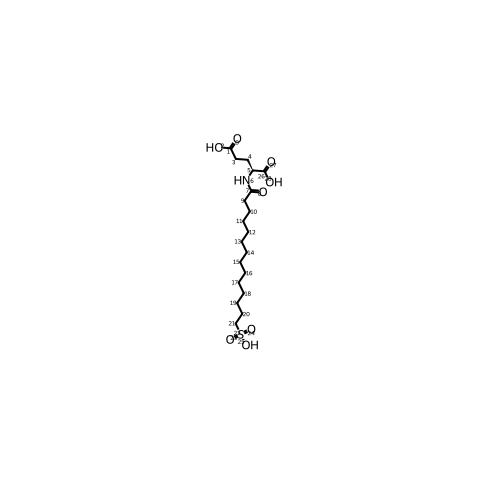 O=C(O)CC[C@H](NC(=O)CCCCCCCCCCCCCS(=O)(=O)O)C(=O)O